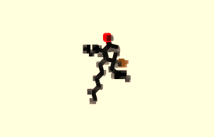 BCC(C)(Br)/C(CCCCCC)=C(/B)C(C)=O